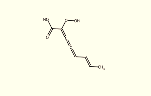 CC=CC=C=C=C(OO)C(=O)O